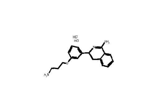 Cl.Cl.NCCCOc1cccc(C2Cc3ccccc3C(N)=N2)c1